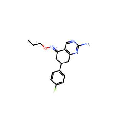 CCCO/N=C1\CC(c2ccc(F)cc2)Cc2nc(N)ncc21